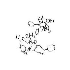 CCN(CC)C(=O)N(Cc1ccc(C2CCCCC2)cc1)c1ccccn1.NC(=O)[C@@H](NC(=O)O)c1ccccc1